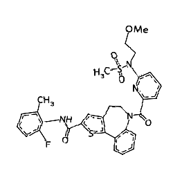 COCCN(c1cccc(C(=O)N2CCc3cc(C(=O)Nc4c(C)cccc4F)sc3-c3ccccc32)n1)S(C)(=O)=O